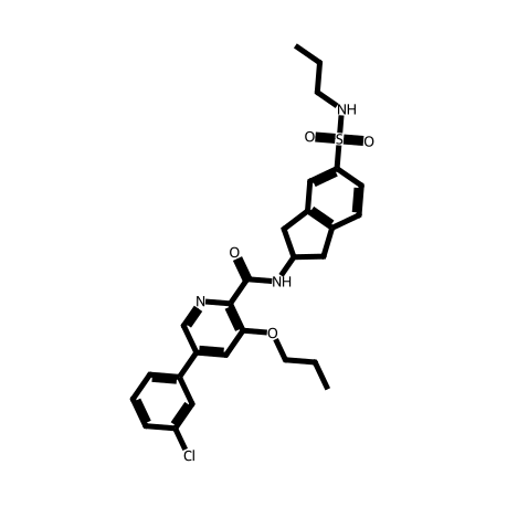 CCCNS(=O)(=O)c1ccc2c(c1)CC(NC(=O)c1ncc(-c3cccc(Cl)c3)cc1OCCC)C2